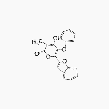 Cc1c(O)c(Oc2ccccc2)c(-c2cc3ccccc3o2)oc1=O